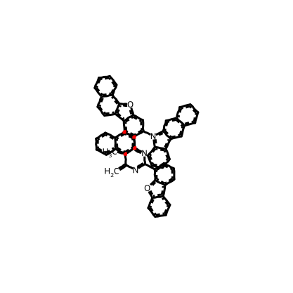 C=C(/N=C(\N=C(/CC)c1cc2c(cc1-n1c3ccccc3c3cc4ccccc4cc31)oc1c3ccccc3ccc21)c1cccc2c1oc1ccccc12)c1cccc2ccccc12